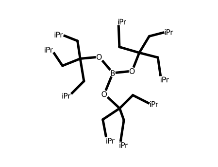 CC(C)CC(CC(C)C)(CC(C)C)OB(OC(CC(C)C)(CC(C)C)CC(C)C)OC(CC(C)C)(CC(C)C)CC(C)C